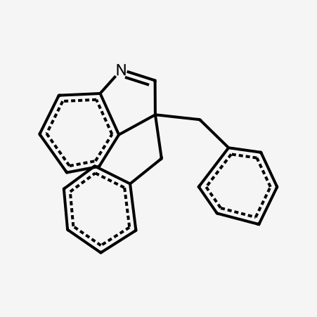 C1=Nc2ccccc2C1(Cc1ccccc1)Cc1ccccc1